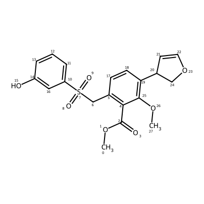 COC(=O)c1c(CS(=O)(=O)c2cccc(O)c2)ccc(C2C=COC2)c1OC